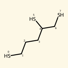 SCCCC(S)CS